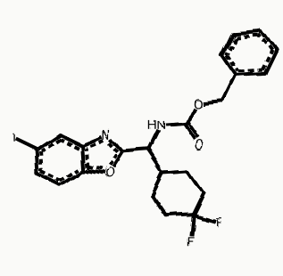 O=C(NC(c1nc2cc(I)ccc2o1)C1CCC(F)(F)CC1)OCc1ccccc1